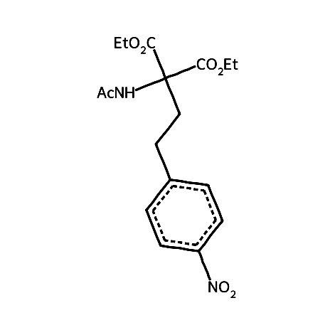 CCOC(=O)C(CCc1ccc([N+](=O)[O-])cc1)(NC(C)=O)C(=O)OCC